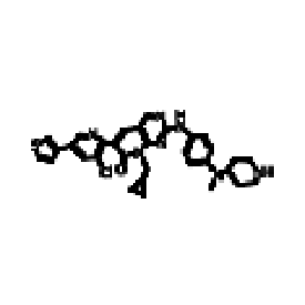 CN(c1ccc(Nc2ncc3cc(-c4ncc(-c5ccsc5)cc4Cl)c(=O)n(CC4CC4)c3n2)cc1)C1CCNCC1